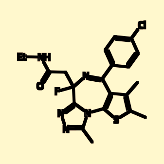 CCNC(=O)CC1(F)N=C(c2ccc(Cl)cc2)c2c(sc(C)c2C)-n2c(C)nnc21